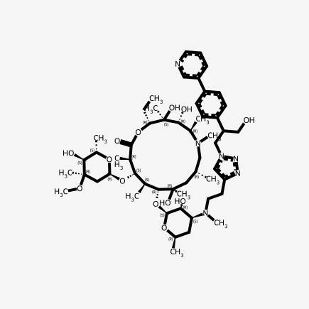 CC[C@H]1OC(=O)[C@H](C)[C@@H](O[C@H]2C[C@@](C)(OC)[C@@H](O)[C@H](C)O2)[C@H](C)[C@@H](O[C@@H]2O[C@H](C)C[C@H](N(C)CCc3cn(CC(CO)c4ccc(-c5cccnc5)cc4)nn3)[C@H]2O)[C@](C)(O)C[C@@H](C)CN(C)[C@H](C)[C@@H](O)[C@]1(C)O